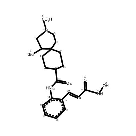 CC(C)(C)C1CN(C(=O)O)CCC12CCC(C(=O)Nc1ccccc1C=CC(=O)NO)CC2